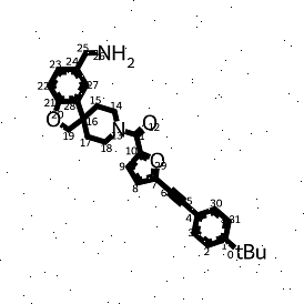 CC(C)(C)c1ccc(C#Cc2ccc(C(=O)N3CCC4(CC3)COc3ccc(CN)cc34)o2)cc1